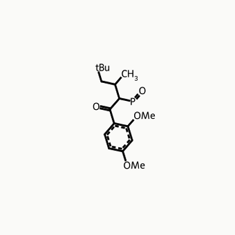 COc1ccc(C(=O)C(P=O)C(C)CC(C)(C)C)c(OC)c1